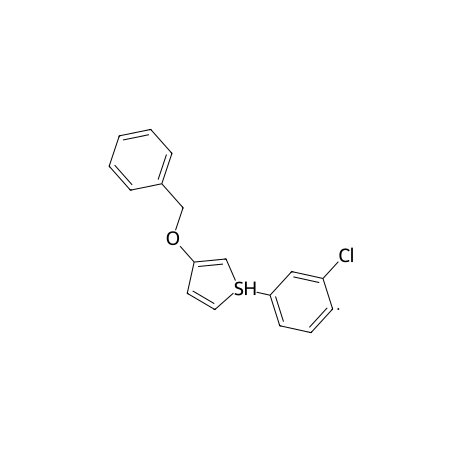 Clc1[c]ccc([SH]2C=CC(OCc3ccccc3)=C2)c1